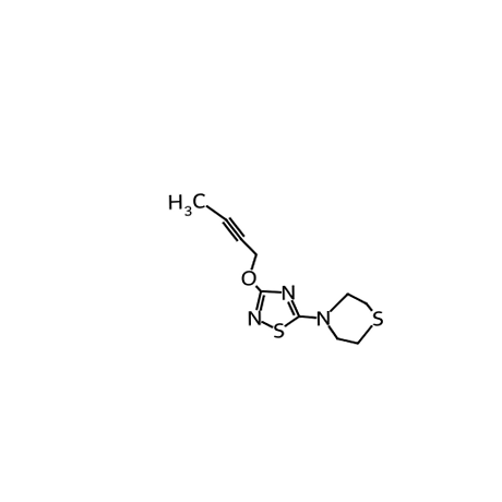 CC#CCOc1nsc(N2CCSCC2)n1